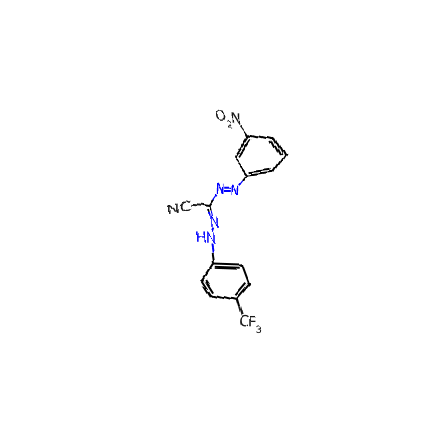 N#CC(N=Nc1cccc([N+](=O)[O-])c1)=NNc1ccc(C(F)(F)F)cc1